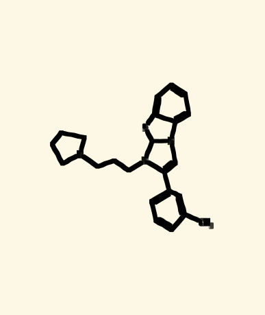 Cc1cccc(C2=CN3c4ccccc4SC3N2CCCN2CCCC2)c1